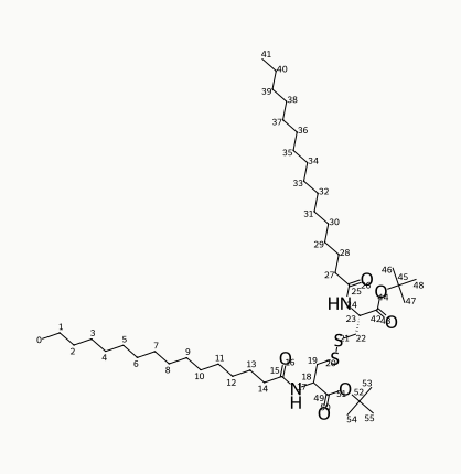 CCCCCCCCCCCCCCCC(=O)NC(CSSC[C@H](NC(=O)CCCCCCCCCCCCCCC)C(=O)OC(C)(C)C)C(=O)OC(C)(C)C